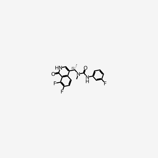 C[C@@H](c1c[nH]c(=O)c2c(F)c(F)ccc12)N(C)C(=O)Nc1cccc(F)c1